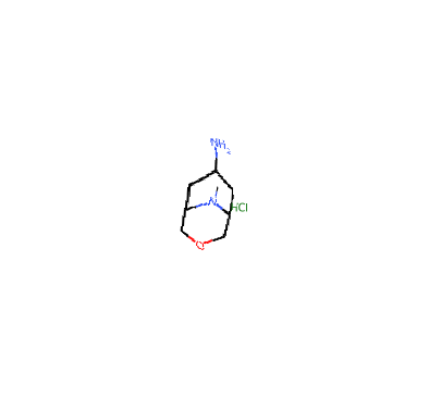 CN1C2COCC1CC(N)C2.Cl